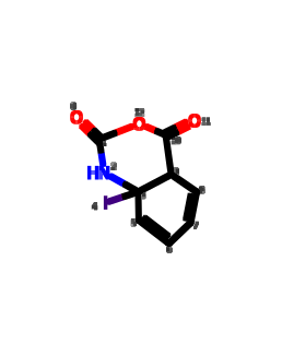 O=C1NC2(I)C=CC=CC2C(=O)O1